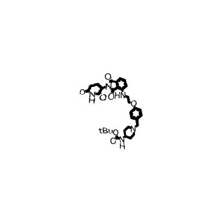 CC(C)(C)OC(=O)NC1CCN(Cc2ccc(OCCNc3cccc4c3C(=O)N(C3CCC(=O)NC3=O)C4=O)cc2)CC1